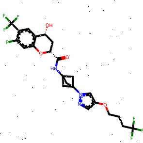 O=C(NC12CC(n3cc(OCCCC(F)(F)F)cn3)(C1)C2)[C@H]1C[C@@H](O)c2cc(C(F)(F)F)c(F)cc2O1